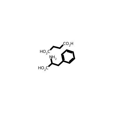 NC(Cc1ccccc1)C(=O)O.O=C(O)CCC(=O)O